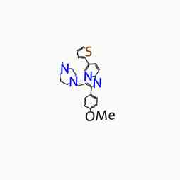 COc1ccc(-c2nc3ccc(-c4cccs4)cn3c2CN2CCCN(C)CC2)cc1